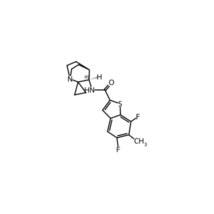 Cc1c(F)cc2cc(C(=O)N[C@@H]3C4CCN(CC4)C34CC4)sc2c1F